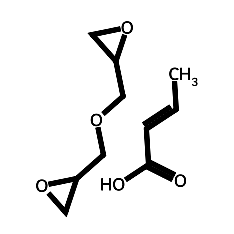 C(OCC1CO1)C1CO1.CC=CC(=O)O